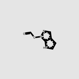 O=COn1ncc2cc[nH]c21